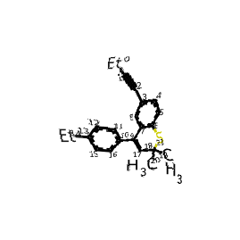 CCC#Cc1ccc2c(c1)C(c1ccc(CC)cc1)=CC(C)(C)S2